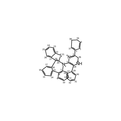 C1=CC(C2=NC(N3C4=C(C=CCC4)c4ccccc4-c4c3sc3ccccc43)=C(c3ccccc3)NC2)=CCC1